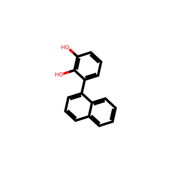 Oc1cccc(-c2cccc3ccccc23)c1O